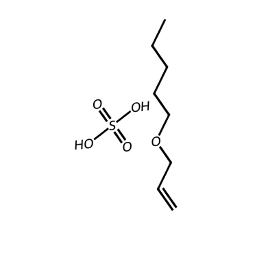 C=CCOCCCCC.O=S(=O)(O)O